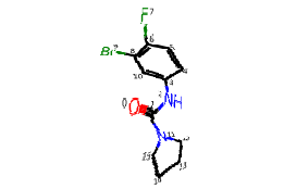 O=C(Nc1ccc(F)c(Br)c1)N1CCCC1